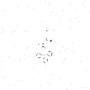 CC1(C)O[C@@H]2[C@@H](COC(c3ccccc3)(c3ccccc3)c3ccccc3)OC(C(C#N)=COCC#N)[C@]2(C)O1